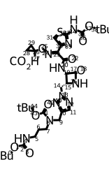 CC(C)(C)OC(=O)NCCCN(Cc1cnn(C[C@H]2NC(=O)[C@H]2NC(=O)C(=NOC2(C(=O)O)CC2)c2csc(NC(=O)OC(C)(C)C)n2)n1)C(=O)OC(C)(C)C